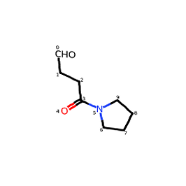 O=CCCC(=O)N1CCCC1